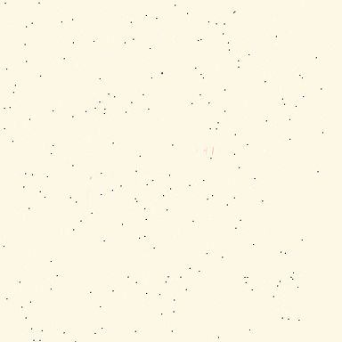 [O-][S+](CCCO)Cc1ccccc1